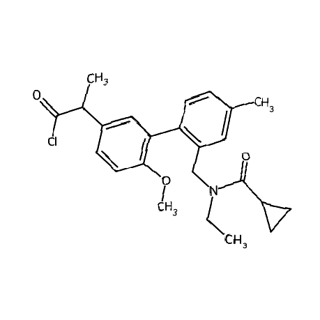 CCN(Cc1cc(C)ccc1-c1cc(C(C)C(=O)Cl)ccc1OC)C(=O)C1CC1